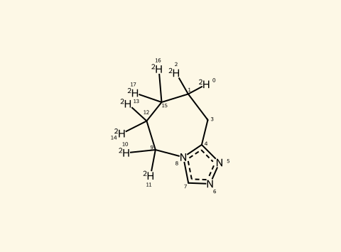 [2H]C1([2H])Cc2nncn2C([2H])([2H])C([2H])([2H])C1([2H])[2H]